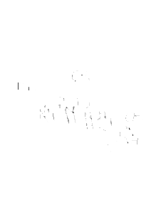 CCOCCn1nccc1C(=O)N[C@H](C(=O)Nc1ccc(-c2c(C)n[nH]c2C)c(F)n1)[C@H]1CC[C@H](C)CC1